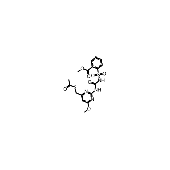 COC(=O)c1ccccc1S(=O)(=O)NC(=O)Nc1nc(CSC(C)=O)cc(OC)n1